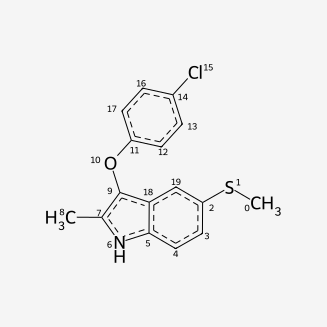 CSc1ccc2[nH]c(C)c(Oc3ccc(Cl)cc3)c2c1